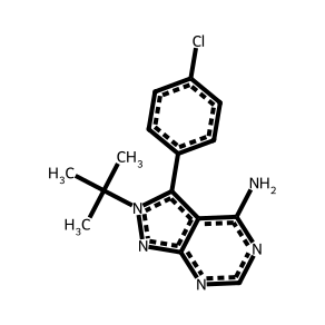 CC(C)(C)n1nc2ncnc(N)c2c1-c1ccc(Cl)cc1